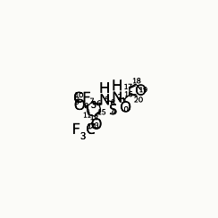 O=C(NC(=S)Nc1cc(OC(F)(F)F)cc(OC(F)(F)F)c1)c1ccoc1